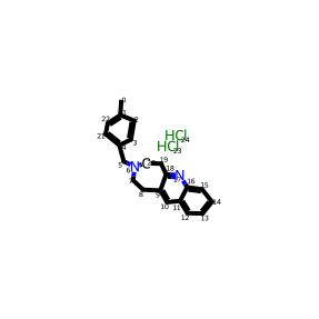 Cc1ccc(CN2CCc3cc4ccccc4nc3CC2)cc1.Cl.Cl